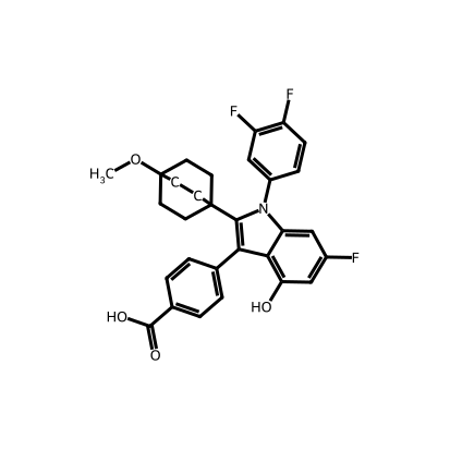 COC12CCC(c3c(-c4ccc(C(=O)O)cc4)c4c(O)cc(F)cc4n3-c3ccc(F)c(F)c3)(CC1)CC2